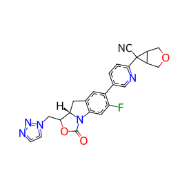 N#CC1(c2ccc(-c3cc4c(cc3F)N3C(=O)OC(Cn5ccnn5)[C@@H]3C4)cn2)C2COCC21